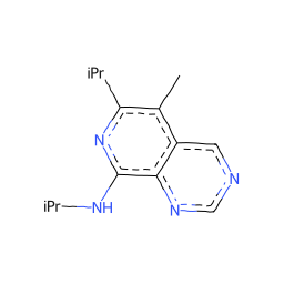 Cc1c(C(C)C)nc(NC(C)C)c2ncncc12